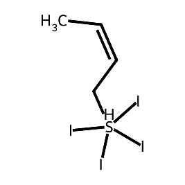 C/C=C\C[SH](I)(I)(I)I